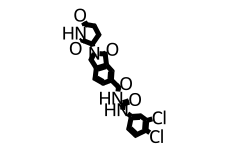 O=C1CCC(N2Cc3ccc(C(=O)NC(=O)Nc4ccc(Cl)c(Cl)c4)cc3C2=O)C(=O)N1